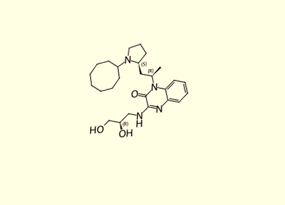 C[C@H](C[C@@H]1CCCN1C1CCCCCCC1)n1c(=O)c(NC[C@@H](O)CO)nc2ccccc21